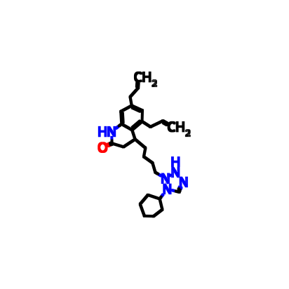 C=CCc1cc(CC=C)c2c(c1)NC(=O)CC2CCCCN1NN=CN1C1CCCCC1